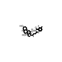 Cc1ccc2nc(CC[C@@H](C)[C@H]3CC[C@H]4[C@H]5C(C[C@H](O)[C@]34C)[C@@]3(C)CC[C@@H](O)C[C@H]3C[C@H]5O)[nH]c(=O)c2c1F